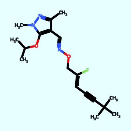 Cc1nn(C)c(OC(C)C)c1C=NOCC(F)=CC#CC(C)(C)C